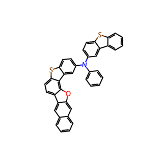 c1ccc(N(c2ccc3sc4ccccc4c3c2)c2ccc3sc4ccc5c6cc7ccccc7cc6oc5c4c3c2)cc1